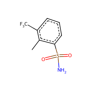 Cc1c(C(F)(F)F)cccc1S(N)(=O)=O